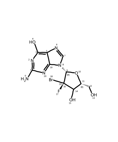 Nc1nc(O)c2ncn([C@@H]3O[C@H](CO)C(O)[C@]3(F)Br)c2n1